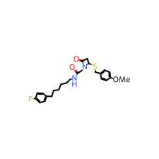 COc1ccc(CSC2CC(=O)N2CC(=O)NCCCCCCc2ccc(F)cc2)cc1